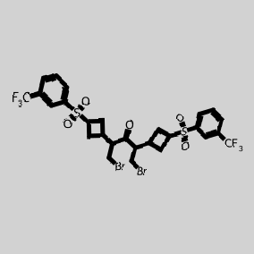 O=C(C(CBr)C1CC(S(=O)(=O)c2cccc(C(F)(F)F)c2)C1)C(CBr)C1CC(S(=O)(=O)c2cccc(C(F)(F)F)c2)C1